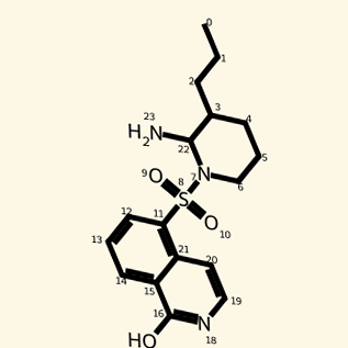 CCCC1CCCN(S(=O)(=O)c2cccc3c(O)nccc23)C1N